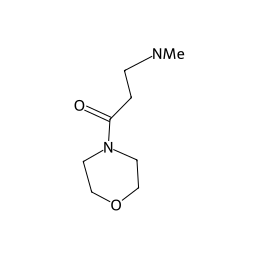 CNCCC(=O)N1CCOCC1